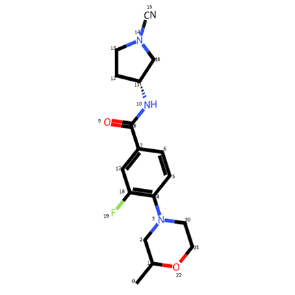 CC1CN(c2ccc(C(=O)N[C@@H]3CCN(C#N)C3)cc2F)CCO1